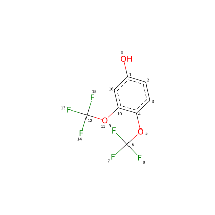 Oc1ccc(OC(F)(F)F)c(OC(F)(F)F)c1